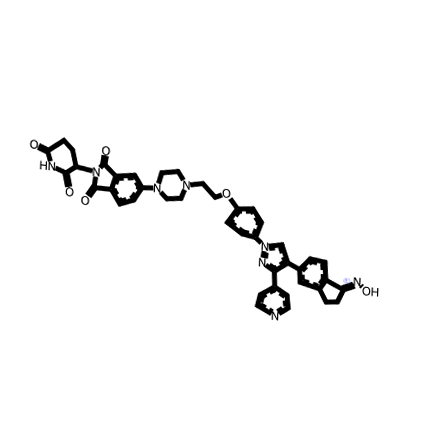 O=C1CCC(N2C(=O)c3ccc(N4CCN(CCOc5ccc(-n6cc(-c7ccc8c(c7)CC/C8=N\O)c(-c7ccncc7)n6)cc5)CC4)cc3C2=O)C(=O)N1